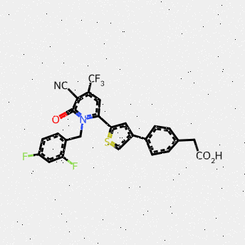 N#Cc1c(C(F)(F)F)cc(-c2cc(-c3ccc(CC(=O)O)cc3)cs2)n(Cc2ccc(F)cc2F)c1=O